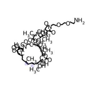 COc1cc2cc(c1Cl)N(C)C(=O)C[C@H](OC(=O)[C@H](C)N(C)C(=O)C(C)(C)SC1CC(=O)N(CCOCCOCCN)C1=O)[C@]1(C)O[C@H]1[C@H](C)[C@@H]1C[C@@](O)(NC(=O)O1)[C@H](OC)/C=C/C=C(\C)C2